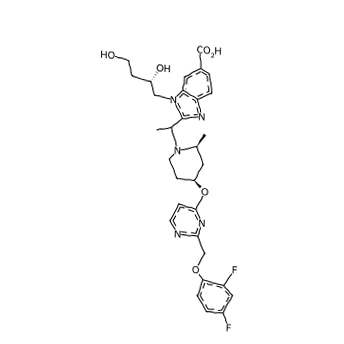 CC(c1nc2ccc(C(=O)O)cc2n1C[C@@H](O)CCO)N1CC[C@H](Oc2ccnc(COc3ccc(F)cc3F)n2)C[C@@H]1C